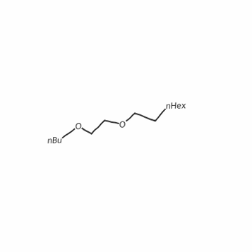 CCCCCCCCOCCOCCCC